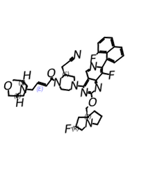 N#CC[C@H]1CN(c2nc(OC[C@@]34CCCN3C[C@H](F)C4)nc3c(F)c(-c4cccc5cccc(F)c45)ncc23)CCN1C(=O)/C=C/CN1[C@@H]2CC[C@H]1COC2